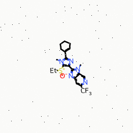 CC[S+]([O-])c1c(-c2nc3cc(C(F)(F)F)ncc3n2C)nc(C2=CCCCC2)n1C